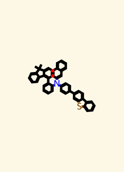 CC1(C)c2ccccc2-c2c(-c3ccccc3N(c3ccc(-c4ccc5c(c4)sc4ccccc45)cc3)c3ccc4ccccc4c3)cccc21